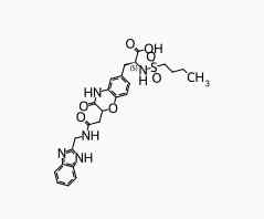 CCCCS(=O)(=O)N[C@@H](Cc1ccc2c(c1)NC(=O)C(CC(=O)NCc1nc3ccccc3[nH]1)O2)C(=O)O